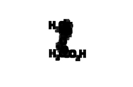 Cc1nn(-c2ccc(OCc3cccc(OC(C)C(=O)O)c3)cc2F)c(=O)n1C(F)F